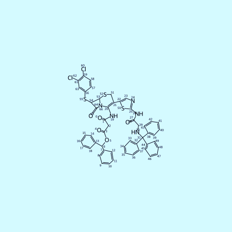 O=C(CC(=O)OC(c1ccccc1)c1ccccc1)NC1=C(c2cnc(NC(=O)CNC(c3ccccc3)(c3ccccc3)c3ccccc3)s2)CSC2C(Sc3ccc(Cl)c(Cl)c3)C(=O)N12